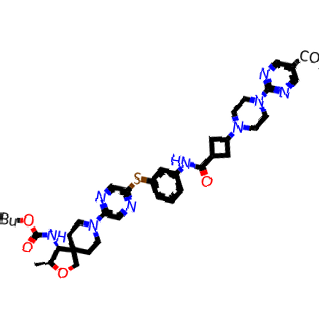 C[C@@H]1OCC2(CCN(c3cnc(Sc4cccc(NC(=O)C5CC(N6CCN(c7ncc(C(=O)O)cn7)CC6)C5)c4)cn3)CC2)[C@@H]1NC(=O)OC(C)(C)C